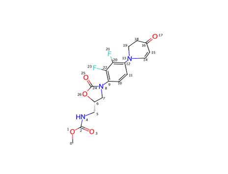 COC(=O)NC[C@H]1CN(c2ccc(N3C=CC(=O)CC3)c(F)c2F)C(=O)O1